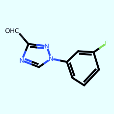 O=Cc1ncn(-c2cccc(F)c2)n1